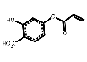 C=CC(=O)Oc1ccc(C(=O)O)c(O)c1